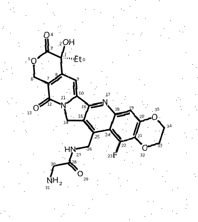 CC[C@@]1(O)C(=O)OCc2c1cc1n(c2=O)Cc2c-1nc1cc3c(c(F)c1c2CNC(=O)CN)OCCO3